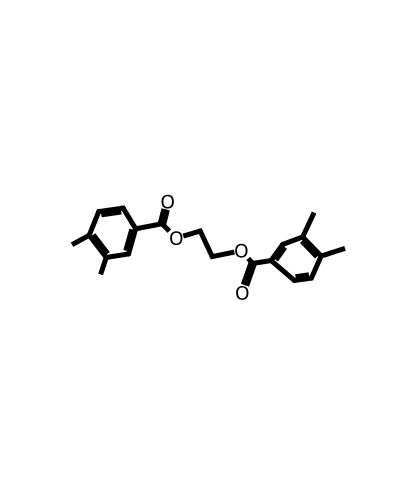 Cc1ccc(C(=O)OCCOC(=O)c2ccc(C)c(C)c2)cc1C